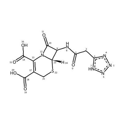 O=C(Cc1nnn[nH]1)NC1C(=O)N2C(C(=O)O)=C(C(=O)O)CS[C@@H]12